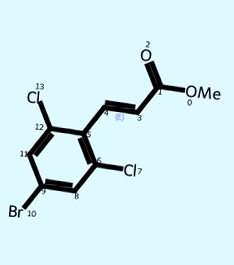 COC(=O)/C=C/c1c(Cl)cc(Br)cc1Cl